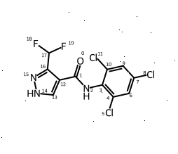 O=C(Nc1c(Cl)cc(Cl)cc1Cl)c1c[nH]nc1C(F)F